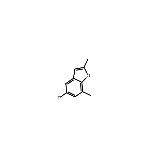 Cc1cc2cc(F)cc(C)c2o1